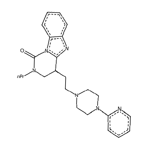 CCCN1CC(CCN2CCN(c3ccccn3)CC2)c2nc3ccccc3n2C1=O